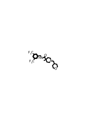 CC1(C(=O)NCc2cc(C(F)(F)F)cc(C(F)(F)F)c2)CCN(CC2CCOCC2)CC1